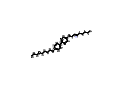 CCCCC/C=C/COc1cnc(-c2ccc(OCCCCOCCC)cc2)nc1